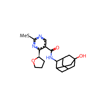 CSc1ncc(C(=O)NC2C3CC4CC2CC(O)(C4)C3)c([C@H]2CCCO2)n1